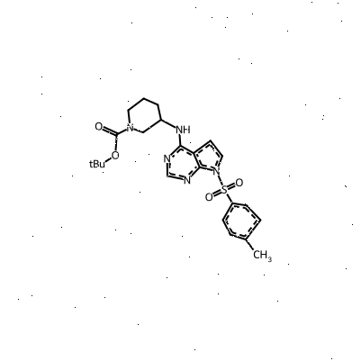 Cc1ccc(S(=O)(=O)n2ccc3c(NC4CCCN(C(=O)OC(C)(C)C)C4)ncnc32)cc1